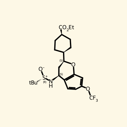 CCOC(=O)[C@H]1CC[C@@H]([C@@H]2C[C@H](N[S@@+]([O-])C(C)(C)C)c3ccc(OC(F)(F)F)cc3O2)CC1